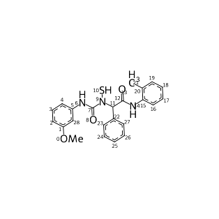 COc1cccc(NC(=O)N(S)C(C(=O)Nc2ccccc2C)c2ccccc2)c1